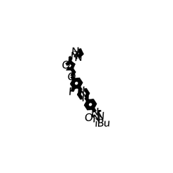 CCC(C)n1ncn(-c2ccc(N3CCN(c4ccc(OCC5COC(Cn6nccn6)C5)cc4F)CC3)cc2)c1=O